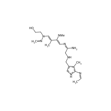 C=NN(/C=C(C)/C(=C/N=C(/N)CNCc1c[nH]c(/N=C\C)c1C)NC)CCO